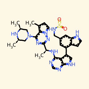 Cc1ccn2nc([C@H](C)Nc3ncnc4[nH]cc(-c5cc(CN[SH](=O)=O)cc6[nH]ccc56)c34)nc(N3C[C@@H](C)N[C@@H](C)C3)c12